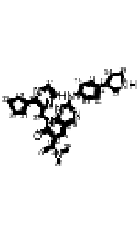 C=C(c1cc2cnc(Nc3ccc(C4CCNC4)cc3)nc2n(Cc2nccnc2C2=CCCC2)c1=O)N(C)C